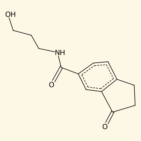 O=C(NCCCO)c1ccc2c(c1)C(=O)CC2